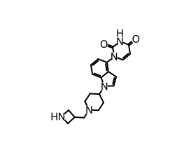 O=c1ccn(-c2cccc3c2ccn3C2CCN(CC3CNC3)CC2)c(=O)[nH]1